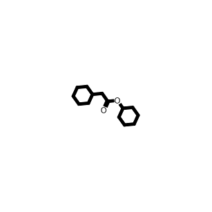 O=C(CC1CCCCC1)OC1CCCCC1